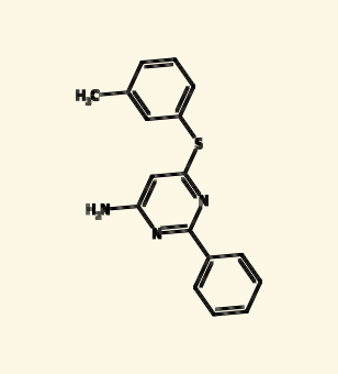 Cc1cccc(Sc2cc(N)nc(-c3ccccc3)n2)c1